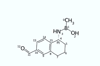 CB(O)N[C@@H]1CCCc2cc(C=O)ccc21